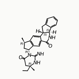 CC[C@]1(C)CC(=O)N([C@@H]2C[C@@H](C)c3cc4c(cc32)C(=O)N[C@@H]2c3ccccc3C[C@@H]42)C(=N)N1